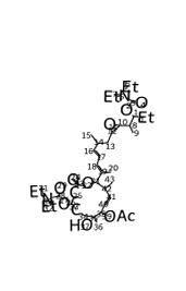 CCC(OC(=O)N(CC)CC)C(C)C1OC1CC(C)/C=C/C=C(\C)C1OC(=O)CC(OC(=O)N(CC)CC)CCC(C)(O)C(OC(C)=O)/C=C/C1C